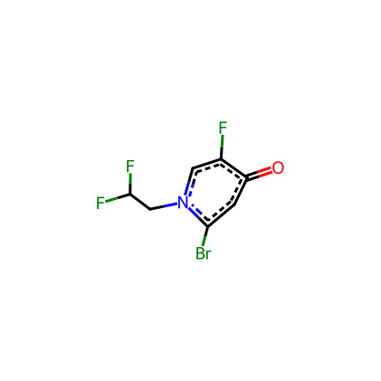 O=c1cc(Br)n(CC(F)F)cc1F